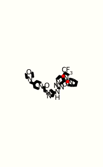 O=C(Cn1cc(Nc2nc3c(N4CC5CCC(C4)N5C(=O)N4CC(C(F)(F)F)C4)cccn3n2)cn1)N1CCC(CN2CCOCC2)CC1